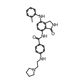 Cc1ccccc1Nc1ccc(NC(=O)c2ccc(NCCN3CCCC3)cc2)c2c1CNC2=O